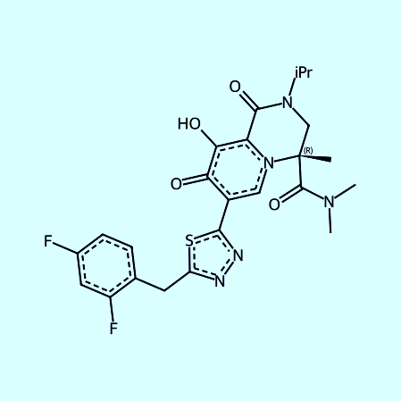 CC(C)N1C[C@](C)(C(=O)N(C)C)n2cc(-c3nnc(Cc4ccc(F)cc4F)s3)c(=O)c(O)c2C1=O